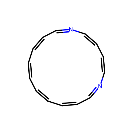 C1=CC=CC=NC=CC=CN=CC=CC=C1